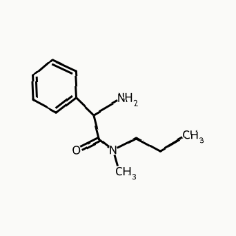 CCCN(C)C(=O)C(N)c1ccccc1